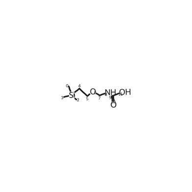 C[Si](C)(C)CCOCNC(=O)O